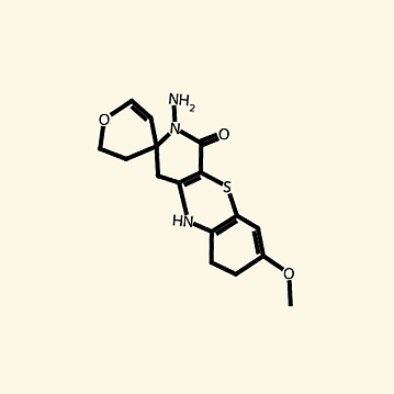 COC1=CC2=C(CC1)NC1=C(S2)C(=O)N(N)C2(C=COCC2)C1